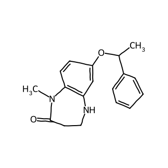 CC(Oc1ccc2c(c1)NCCC(=O)N2C)c1ccccc1